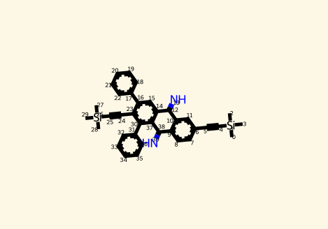 C[Si](C)(C)C#Cc1ccc2c(c1)C(=N)c1cc(-c3ccccc3)c(C#C[Si](C)(C)C)c(-c3ccccc3)c1C2=N